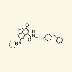 O=C(NCCCN1CCC(Cc2ccccc2)CC1)c1cc(=O)[nH]c2ccc(SN3CCCCCC3)cc12